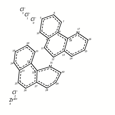 [Cl-].[Cl-].[Cl-].[Cl-].[Zr+4].c1ccc2c(c1)ccc1cccnc12.c1ccc2c(c1)ccc1cccnc12